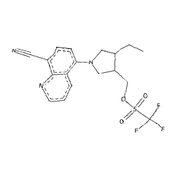 CCC1CN(c2ccc(C#N)c3ncccc23)CC1COS(=O)(=O)C(F)(F)F